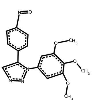 COc1cc(-n2nncc2-c2ccc(N=O)cc2)cc(OC)c1OC